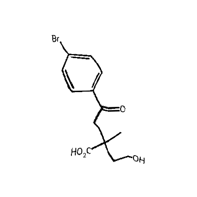 CC(CO)(CC(=O)c1ccc(Br)cc1)C(=O)O